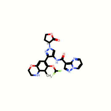 CC1C(OC(F)F)=C(c2nn([C@H]3CCOC3=O)cc2NC(=O)c2cnn3cccnc23)C=C2OCCNC21